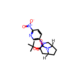 CC(C)(C)OC(=O)N1[C@@H]2CC[C@H]1CN(c1ccc([N+](=O)[O-])nc1)C(=O)C2